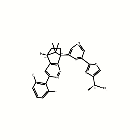 C[C@H](N)c1coc(-c2cncc([C@@]34CC[C@@H](c5cc(-c6c(F)cccc6F)nnc53)C4(C)C)n2)n1